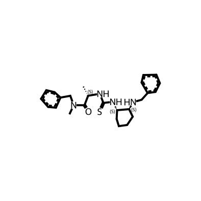 C[C@H](NC(=S)N[C@H]1CCCC[C@@H]1NCc1ccccc1)C(=O)N(C)Cc1ccccc1